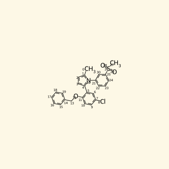 Cc1ccc(-c2cc(Cl)ccc2OCc2ccccc2)n1-c1cccc(S(C)(=O)=O)c1